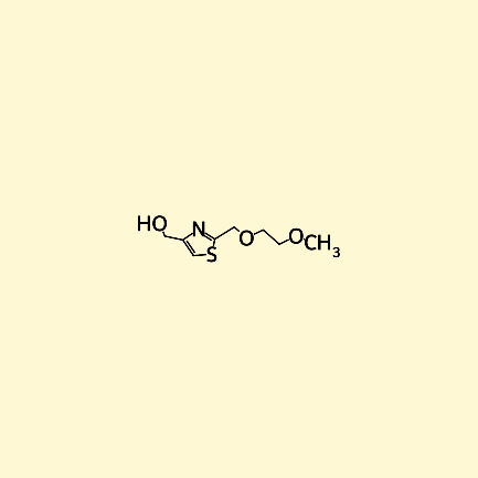 COCCOCc1nc(CO)cs1